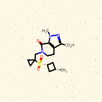 Cn1nc(C(=O)O)c2c1C(=O)N(CC1(S(=O)(=O)[C@H]3C[C@@H](C)C3)CC1)CC2